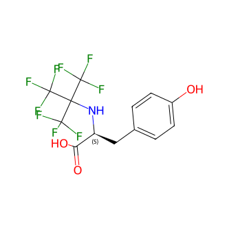 O=C(O)[C@H](Cc1ccc(O)cc1)NC(C(F)(F)F)(C(F)(F)F)C(F)(F)F